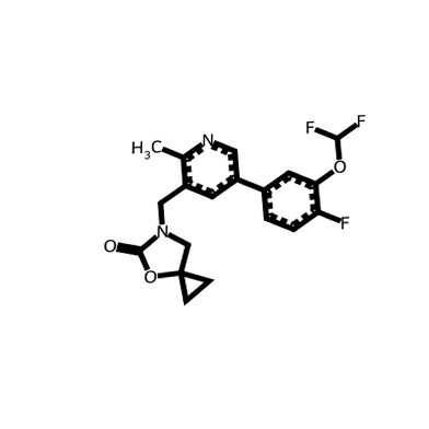 Cc1ncc(-c2ccc(F)c(OC(F)F)c2)cc1CN1CC2(CC2)OC1=O